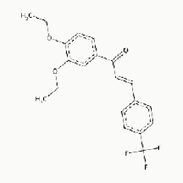 CCOc1ccc(C(=O)C=Cc2ccc(C(F)(F)F)cc2)cc1OCC